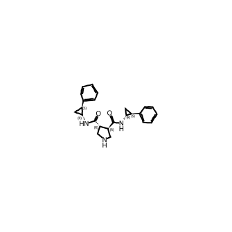 O=C(N[C@@H]1C[C@H]1c1ccccc1)[C@H]1CNC[C@@H]1C(=O)N[C@@H]1C[C@H]1c1ccccc1